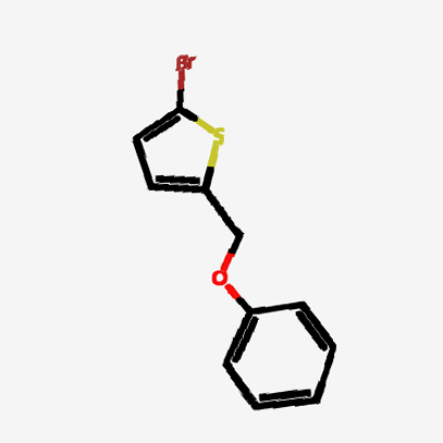 Brc1ccc(COc2ccccc2)s1